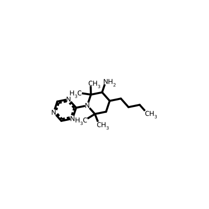 CCCCC1CC(C)(C)N(c2ncncn2)C(C)(C)C1N